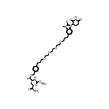 C[C@@H](OCc1ccc(CCCOCCOCCOCCOCCCc2ccc3c(c2)n(C)c(=O)n3C2CCC(=O)NC2=O)cc1)[C@H](CCC(N)=O)NC(=O)OC(C)(C)C